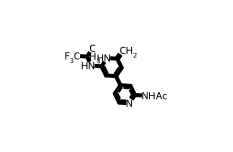 C=C1C=C(c2ccnc(NC(C)=O)c2)C=C(NC(C)C(F)(F)F)N1